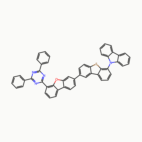 c1ccc(-c2nc(-c3ccccc3)nc(-c3cccc4c3oc3cc(-c5ccc6sc7c(-n8c9ccccc9c9ccccc98)cccc7c6c5)ccc34)n2)cc1